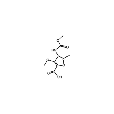 COC(=O)NC1C(OC)=C(C(=O)O)ON1C